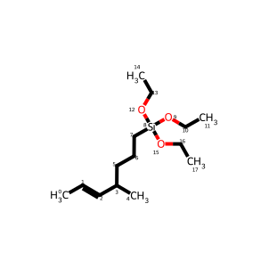 C/C=C/C(C)CCC[Si](OCC)(OCC)OCC